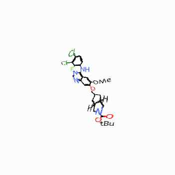 COc1cc2c(Nc3ccc(Cl)c(Cl)c3F)ncnc2cc1OCC1C[C@@H]2CN(C(=O)OC(C)(C)C)C[C@@H]2C1